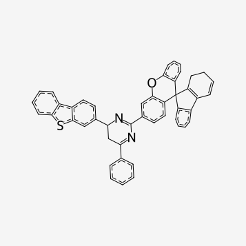 C1=CC2=C(CC1)C1(c3ccccc3Oc3cc(C4=NC(c5ccc6c(c5)sc5ccccc56)CC(c5ccccc5)=N4)ccc31)c1ccccc12